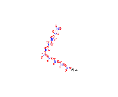 O=[N+]([O-])[O-].O=[N+]([O-])[O-].O=[N+]([O-])[O-].O=[N+]([O-])[O-].O=[N+]([O-])[O-].O=[N+]([O-])[O-].O=[N+]([O-])[O-].O=[N+]([O-])[O-].O=[N+]([O-])[O-].O=[N+]([O-])[O-].[Pu+4].[U+6]